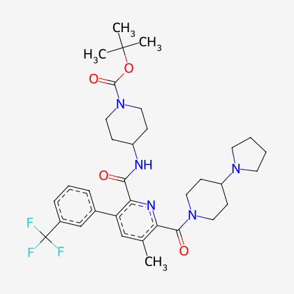 Cc1cc(-c2cccc(C(F)(F)F)c2)c(C(=O)NC2CCN(C(=O)OC(C)(C)C)CC2)nc1C(=O)N1CCC(N2CCCC2)CC1